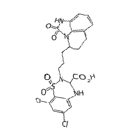 O=C(O)C1Nc2cc(Cl)cc(Cl)c2S(=O)(=O)N1CCCC1CCc2cccc3c2N1S(=O)(=O)N3